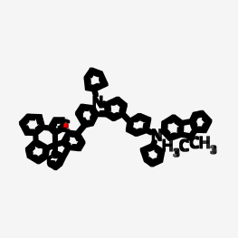 CC1(C)c2ccccc2-c2ccc(N(c3ccccc3)c3ccc(-c4ccc5c(c4)c4cc(-c6ccc7c(c6)C6(c8ccccc8-c8ccccc8-c8ccccc86)c6ccccc6-7)ccc4n5-c4ccccc4)cc3)cc21